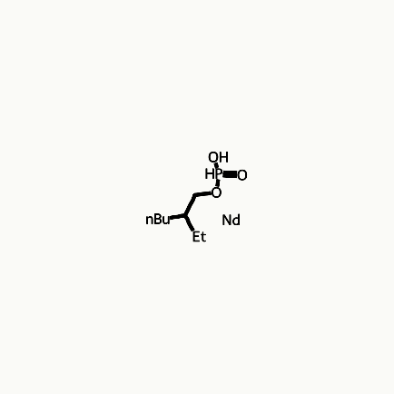 CCCCC(CC)CO[PH](=O)O.[Nd]